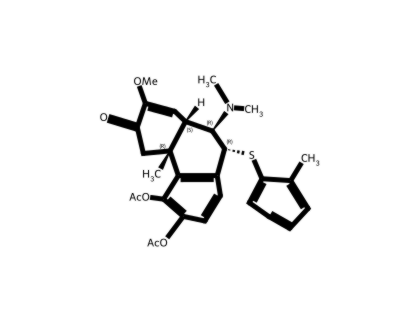 COC1=C[C@@H]2[C@@H](N(C)C)[C@H](Sc3ccccc3C)c3ccc(OC(C)=O)c(OC(C)=O)c3[C@]2(C)CC1=O